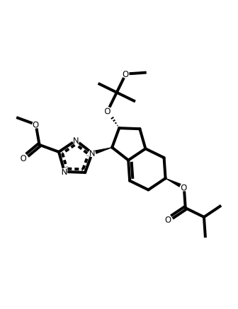 COC(=O)c1ncn([C@@H]2C3=CC[C@H](OC(=O)C(C)C)CC3C[C@H]2OC(C)(C)OC)n1